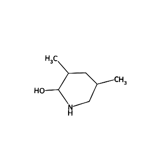 CC1CNC(O)C(C)C1